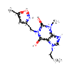 CCOC(=O)Cn1cnc2c1c(=O)n(Cc1cc(C)on1)c(=O)n2C